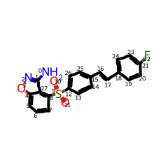 Nc1noc2cccc(S(=O)(=O)c3ccc(/C=C/c4ccc(F)cc4)cc3)c12